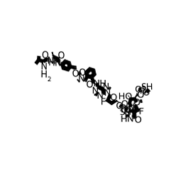 CO[C@H](COP(=O)(S)OC)[C@@H](O)[C@@H](O[P@](=O)(S)OC[C@@H]1C[C@@H](F)[C@H](n2cnc3c(NC(=O)c4ccccc4CN(C)C(=O)OCc4ccc(NC(=O)[C@H](C)NC(=O)C(N)C(C)C)cc4)ncnc32)O1)n1cc(F)c2c(=O)[nH]cnc21